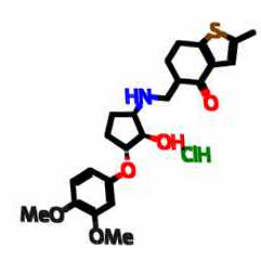 COc1ccc(O[C@@H]2CC[C@@H](NCC3CCc4sc(C)cc4C3=O)[C@H]2O)cc1OC.Cl